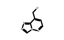 [O]Cc1ccnn2cnnc12